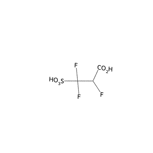 O=C(O)C(F)C(F)(F)S(=O)(=O)O